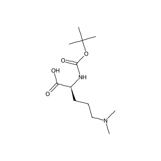 CN(C)CCC[C@H](NC(=O)OC(C)(C)C)C(=O)O